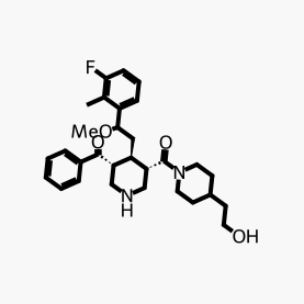 COC(C[C@@H]1[C@@H](C(=O)c2ccccc2)CNC[C@H]1C(=O)N1CCC(CCO)CC1)c1cccc(F)c1C